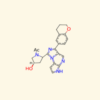 CC(=O)N1C[C@H](O)CC1c1nc(-c2ccc3c(c2)CCCO3)c2cnc3[nH]ccc3n12